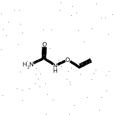 C=CONC(N)=O